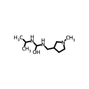 CC(C)NC(O)NCC1CCN(C)C1